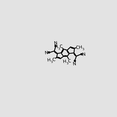 CC1=Cc2c(C)c3c(c(C)c2C1=C(C#N)C#N)C=C(C)C3=C(C#N)C#N